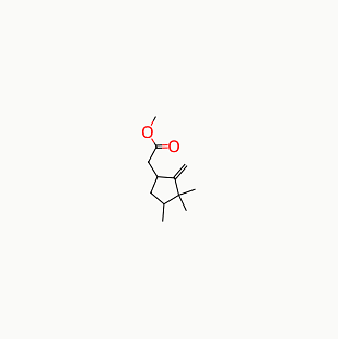 C=C1C(CC(=O)OC)CC(C)C1(C)C